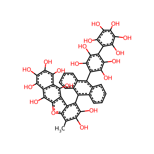 Cc1c(O)c(O)c(-c2c3ccccc3c(-c3c(O)c(O)c(-c4c(O)c(O)c(O)c(O)c4O)c(O)c3O)c3ccccc23)c2c1oc1c(O)c3c(O)c(O)c(O)c(O)c3c(O)c12